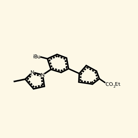 CCOC(=O)c1ccc(-c2ccc(C(C)CC)c(-n3ccc(C)n3)c2)cc1